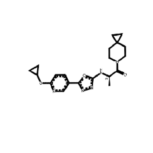 C[C@@H](Nc1nnc(-c2ccc(OC3CC3)nc2)o1)C(=O)N1CCC2(CC1)CC2